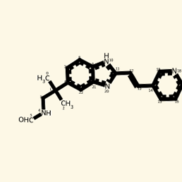 CC(C)(CNC=O)c1ccc2[nH]c(C=Cc3cccnc3)nc2c1